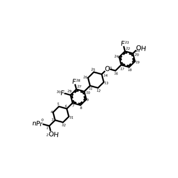 CCCC(O)C1CCC(c2ccc(C3CCC(OCc4ccc(O)c(F)c4)CC3)c(F)c2F)CC1